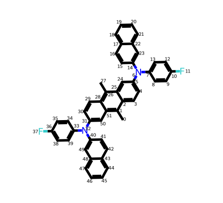 Cc1c2ccc(N(c3ccc(F)cc3)c3ccc4ccccc4c3)cc2c(C)c2ccc(N(c3ccc(F)cc3)c3ccc4ccccc4c3)cc12